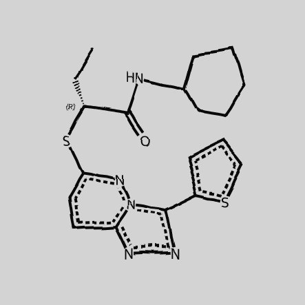 CC[C@@H](Sc1ccc2nnc(-c3cccs3)n2n1)C(=O)NC1CCCCC1